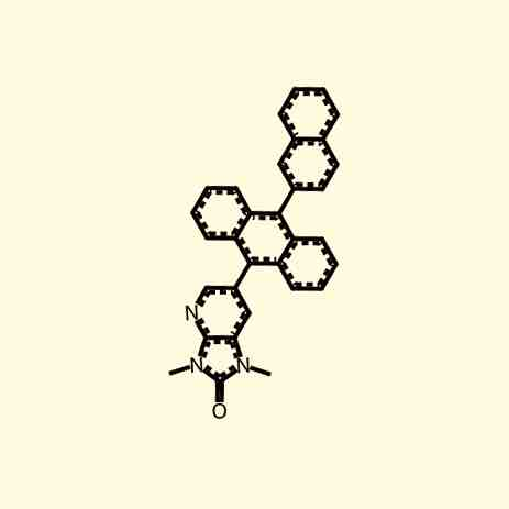 Cn1c(=O)n(C)c2ncc(-c3c4ccccc4c(-c4ccc5ccccc5c4)c4ccccc34)cc21